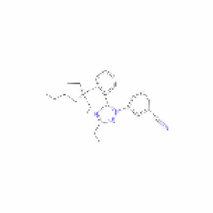 CCCCC(CC)(CC)c1ccccc1-c1nc(CC)nn1-c1cccc(C#N)c1